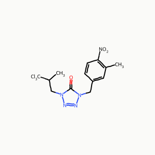 Cc1cc(Cn2nnn(CC(C)C(Cl)(Cl)Cl)c2=O)ccc1[N+](=O)[O-]